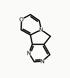 C1=CN2Cc3cncnc3C2=CO1